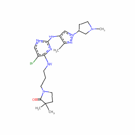 Cc1nn(C2CCN(C)C2)cc1Nc1ncc(Br)c(NCCCN2CCC(C)(C)C2=O)n1